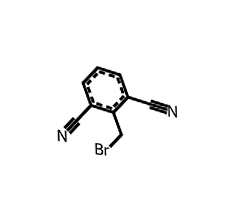 N#Cc1cccc(C#N)c1CBr